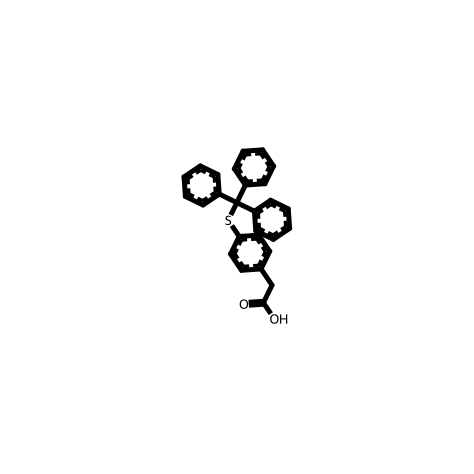 O=C(O)Cc1ccc(SC(c2ccccc2)(c2ccccc2)c2ccccc2)cc1